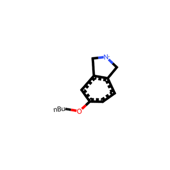 CCCCOc1ccc2c(c1)C[N]C2